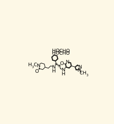 CN1CCC(CCN[C@H](c2ccccc2)[C@@H]2CNc3cc(-c4cnn(C)c4)cnc3O2)CC1=O.O=CO.O=CO